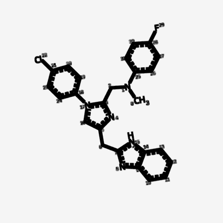 CN(Cc1nc(Cc2nc3ccccc3[nH]2)cn1-c1ccc(Cl)cc1)c1ccc(F)cc1